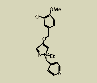 CC[N+]1(Cc2ccncc2)C=C(OCc2ccc(OC)c(Cl)c2)C=N1